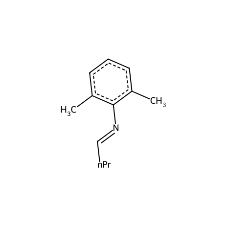 CCCC=Nc1c(C)cccc1C